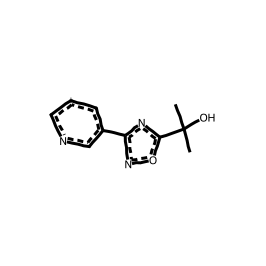 CC(C)(O)c1nc(-c2c[c]cnc2)no1